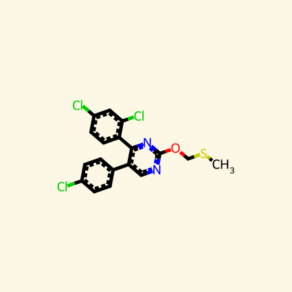 CSCOc1ncc(-c2ccc(Cl)cc2)c(-c2ccc(Cl)cc2Cl)n1